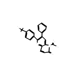 CC(C)(N)c1ccc(-c2nc3ccc(=N)n(C(=N)N)c3cc2-c2ccccc2)cc1